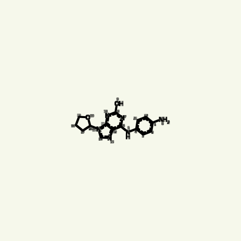 Nc1ccc(Nc2nc(O)nc3c2ncn3C2CCCO2)cc1